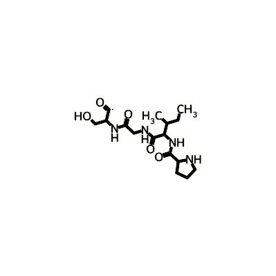 CCC(C)C(NC(=O)C1CCCN1)C(=O)NCC(=O)NC([C]=O)CO